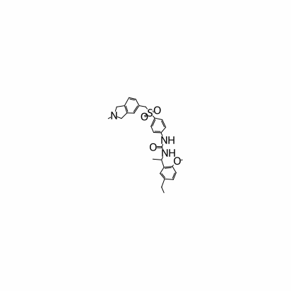 CCc1ccc(OC)c(C(C)NC(=O)Nc2ccc(S(=O)(=O)Cc3ccc4c(c3)CN(C)C4)cc2)c1